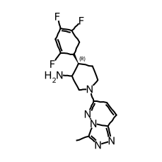 Cc1nnc2ccc(N3CC[C@H](C4CC(F)=C(F)C=C4F)C(N)C3)nn12